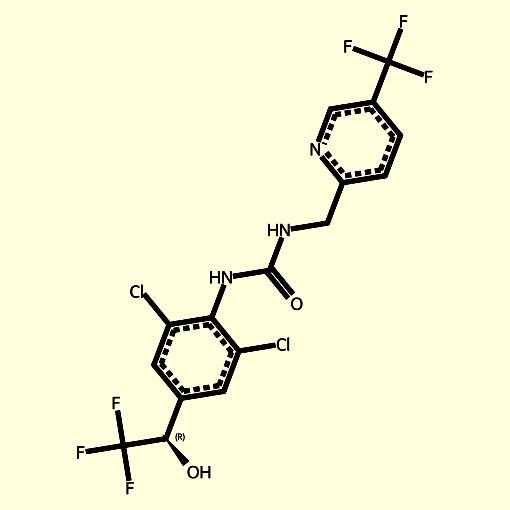 O=C(NCc1ccc(C(F)(F)F)cn1)Nc1c(Cl)cc([C@@H](O)C(F)(F)F)cc1Cl